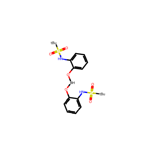 CC(C)(C)S(=O)(=O)Nc1ccccc1OBOc1ccccc1NS(=O)(=O)C(C)(C)C